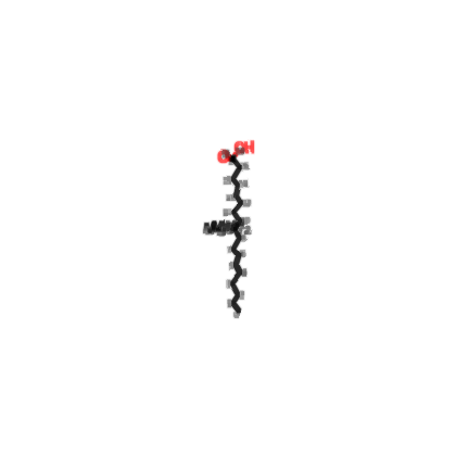 CCCCCCCCCCCCCCCCCC(=O)O.[MgH2].[MgH2]